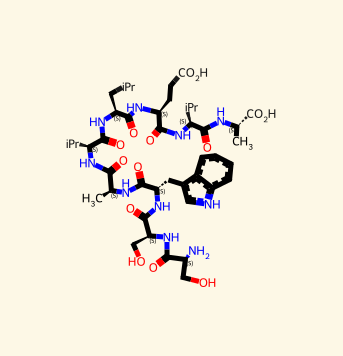 CC(C)C[C@H](NC(=O)[C@@H](NC(=O)[C@H](C)NC(=O)[C@H](Cc1c[nH]c2ccccc12)NC(=O)[C@H](CO)NC(=O)[C@@H](N)CO)C(C)C)C(=O)N[C@@H](CCC(=O)O)C(=O)N[C@H](C(=O)N[C@@H](C)C(=O)O)C(C)C